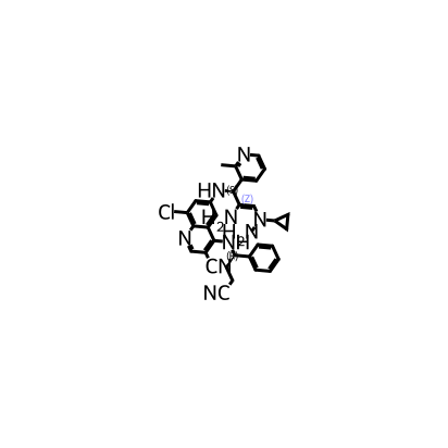 Cc1ncccc1[C@H](Nc1cc(Cl)c2ncc(C#N)c(N[C@H](CCC#N)c3ccccc3)c2c1)/C(N)=C/N(N)C1CC1